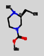 CC(C)(C)OC(=O)N1CCN(C#N)[C@@H](CC#N)C1